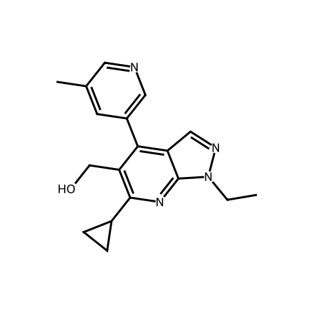 CCn1ncc2c(-c3cncc(C)c3)c(CO)c(C3CC3)nc21